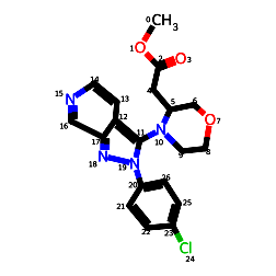 COC(=O)CC1COCCN1c1c2ccncc2nn1-c1ccc(Cl)cc1